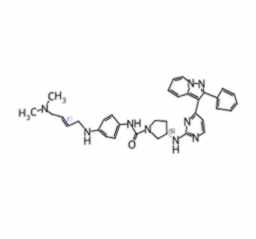 CN(C)C/C=C/CNc1ccc(NC(=O)N2CC[C@H](Nc3nccc(-c4c(-c5ccccc5)nn5ccccc45)n3)C2)cc1